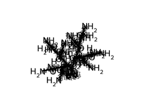 NCCCC[C@H](N)C(=O)NCCCCC(NC(=O)[C@@H](N)CCCCN)C(=O)N[C@@H](CCCCNC(=O)[C@H](CCCCNC(=O)[C@@H](N)CCCCN)NC(=O)[C@@H](N)CCCCN)C(=O)N[C@@H](CCCCNC(=O)[C@H](CCCCNC(=O)[C@H](CCCCNC(=O)[C@@H](N)CCCCN)NC(=O)[C@@H](N)CCCCN)NC(=O)[C@H](CCCCNC(=O)[C@@H](N)CCCCN)NC(=O)[C@@H](N)CCCCN)C(=O)NC(c1ccccc1)c1ccccc1